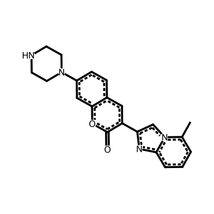 Cc1cccc2nc(-c3cc4ccc(N5CCNCC5)cc4oc3=O)cn12